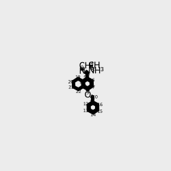 CN=C(NC)c1ccc(OCc2ccccc2)c2c1CCCC2